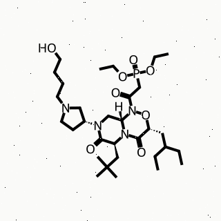 CCOP(=O)(CC(=O)N1O[C@H](CC(CC)CC)C(=O)N2[C@@H]1CN([C@@H]1CCN(CCCCO)C1)C(=O)[C@@H]2CC(C)(C)C)OCC